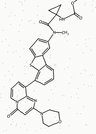 CN(C(=O)C1(NC(=O)OC(C)(C)C)CC1)c1ccc2sc3c(-c4cccn5c(=O)cc(N6CCOCC6)nc45)cccc3c2c1